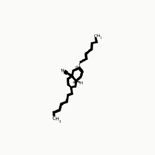 CCCCCCCC1CCC2(C#N)C[C@H](CCCCCCC)CC[C@@H]2C1